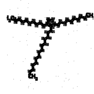 CCCCCCCCCCCCCCCc1n(CCCCCCCCCC)cc[n+]1CCCCCCCCCC